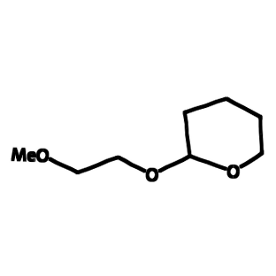 COCCOC1CCCCO1